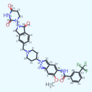 COc1cc2nn(C3CCN(Cc4ccc5c(c4)CN(N4CCC(=O)NC4=O)C5=O)CC3)cc2cc1NC(=O)c1cccc(C(F)(F)F)c1